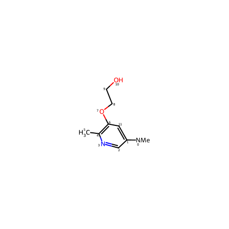 CNc1cnc(C)c(OCCO)c1